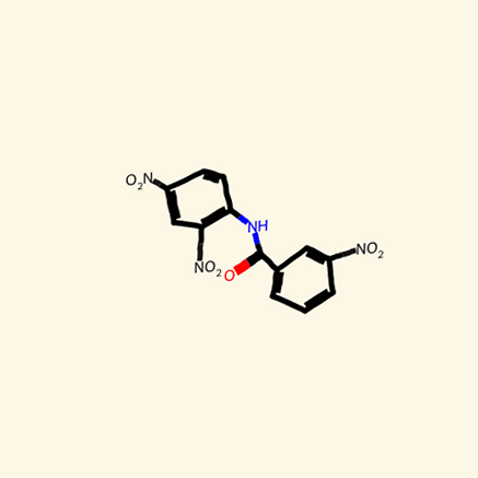 O=C(Nc1ccc([N+](=O)[O-])cc1[N+](=O)[O-])c1cccc([N+](=O)[O-])c1